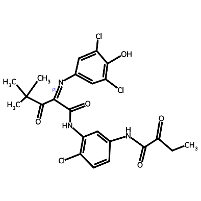 CCC(=O)C(=O)Nc1ccc(Cl)c(NC(=O)/C(=N\c2cc(Cl)c(O)c(Cl)c2)C(=O)C(C)(C)C)c1